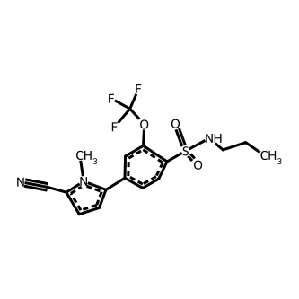 CCCNS(=O)(=O)c1ccc(-c2ccc(C#N)n2C)cc1OC(F)(F)F